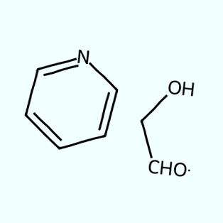 O=[C]CO.c1ccncc1